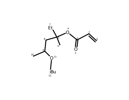 C=CC(=O)OC(C)(CC)CC(C)OC(C)CC